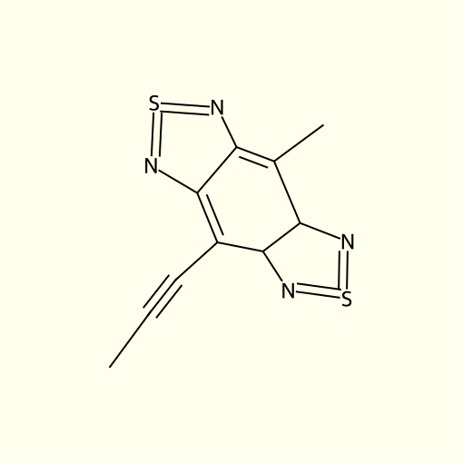 CC#CC1=C2N=S=NC2=C(C)C2N=S=NC12